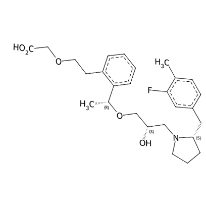 Cc1ccc(C[C@@H]2CCCN2C[C@H](O)CO[C@H](C)c2ccccc2CCOCC(=O)O)cc1F